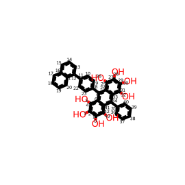 Oc1c(O)c(O)c2c(-c3ccc(-c4cccc5ccccc45)cc3)c3c(O)c(O)c(O)c(O)c3c(-c3ccccc3)c2c1O